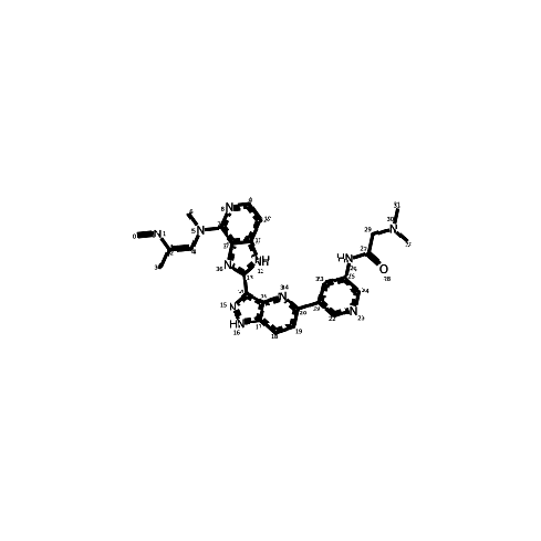 C=N/C(C)=C\N(C)c1nccc2[nH]c(-c3n[nH]c4ccc(-c5cncc(NC(=O)CN(C)C)c5)nc34)nc12